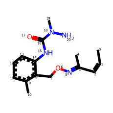 C/C=C\C(C)=N\OCc1c(C)cccc1NC(=O)N(C)N